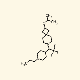 CCCN1CCC(C(N2CCC3(CC2)CC(OC(C)C)C3)C(F)(F)F)CC1